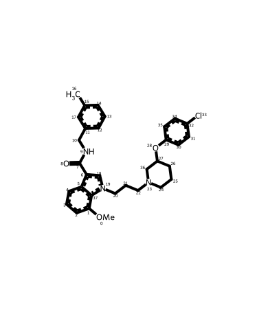 COc1cccc2c(C(=O)NCc3cccc(C)c3)cn(CCCN3CCCC(Oc4ccc(Cl)cc4)C3)c12